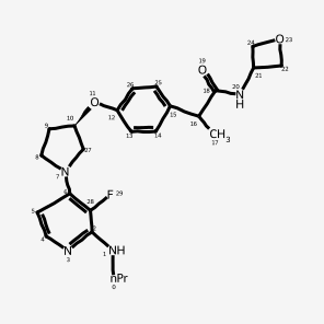 CCCNc1nccc(N2CC[C@@H](Oc3ccc(C(C)C(=O)NC4COC4)cc3)C2)c1F